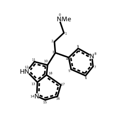 CNCCC(c1cccnc1)c1c[nH]c2ncccc12